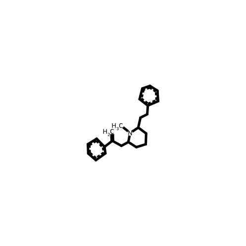 C=C(CC1CCCC(CCc2ccccc2)N1C)c1ccccc1